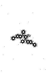 Brc1cc(N(c2ccccc2)c2ccc3cc(-c4ccccc4)ccc3c2)cc(N(c2ccccc2)c2ccc3cc(-c4ccccc4)ccc3c2)c1